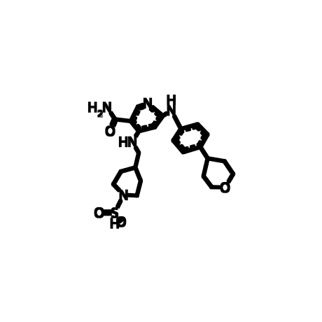 NC(=O)c1cnc(Nc2ccc(C3CCOCC3)cc2)cc1NCC1CCN([SH](=O)=O)CC1